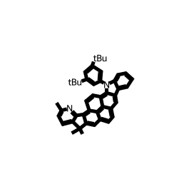 Cc1ccc2c(n1)-c1c(cc3ccc4cc5c6ccccc6n(-c6cc(C(C)(C)C)cc(C(C)(C)C)c6)c5c5ccc1c3c45)C2(C)C